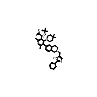 Cc1nc(C)c([C@H](OC(C)(C)C)C(=O)O)c(N2CCC(C)(C)CC2)c1-c1ccc2c(c1)CCN(Cc1cnc(-c3ccccc3)[nH]1)C2